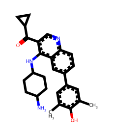 Cc1cc(-c2ccc3ncc(C(=O)C4CC4)c(NC4CCC(N)CC4)c3c2)cc(C)c1O